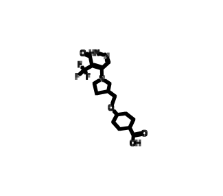 O=C(O)C1CCC(OCC2CCN(c3cn[nH]c(=O)c3C(F)(F)F)C2)CC1